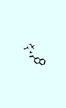 CC1(C)COC(C=O)N1c1nc(-c2ccc3ccccc3c2)cs1